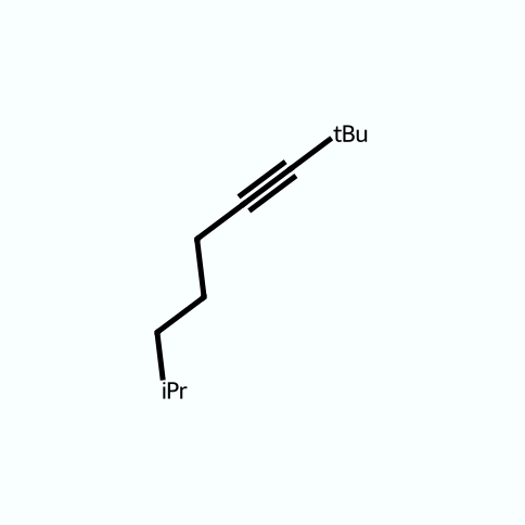 [CH2]C(C)CCCC#CC(C)(C)C